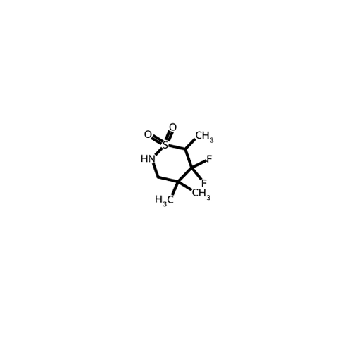 CC1C(F)(F)C(C)(C)CNS1(=O)=O